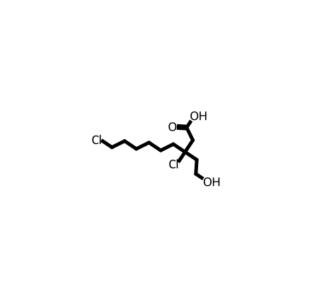 O=C(O)CC(Cl)(CCO)CCCCCCCl